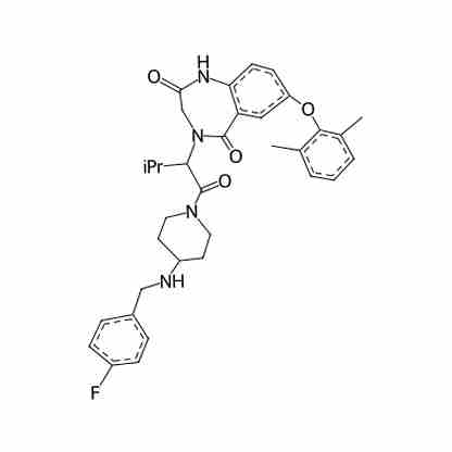 Cc1cccc(C)c1Oc1ccc2c(c1)C(=O)N(C(C(=O)N1CCC(NCc3ccc(F)cc3)CC1)C(C)C)CC(=O)N2